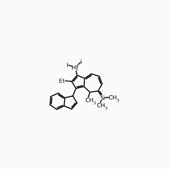 CCC1=[C]([Hf]([I])[I])C2=CC=CC(=[Si](C)C)C(C)C2=C1C1C=Cc2ccccc21